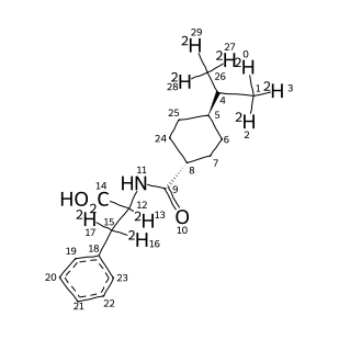 [2H]C([2H])([2H])C([C@H]1CC[C@H](C(=O)NC([2H])(C(=O)O)C([2H])([2H])c2ccccc2)CC1)C([2H])([2H])[2H]